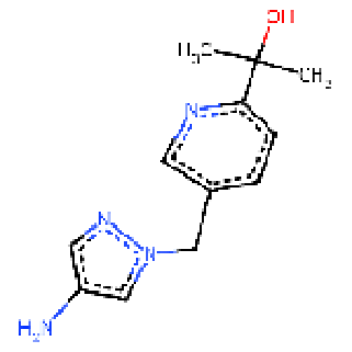 CC(C)(O)c1ccc(Cn2cc(N)cn2)cn1